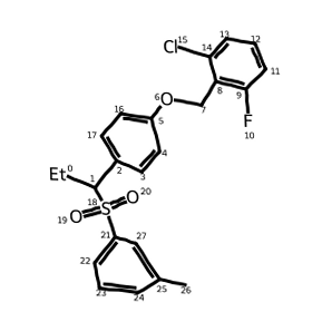 CCC(c1ccc(OCc2c(F)cccc2Cl)cc1)S(=O)(=O)c1cccc(C)c1